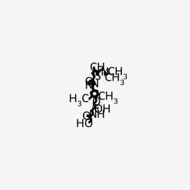 CCc1cc(-c2noc(-c3cc(C)c(CN(CC)CC)s3)n2)cc(C)c1OC[C@@H](O)CNC(=O)CO